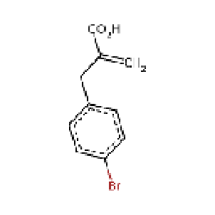 C=C(Cc1ccc(Br)cc1)C(=O)O